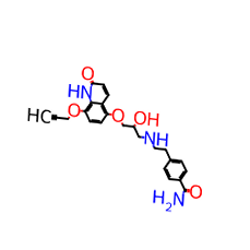 C#CCOc1ccc(OCC(O)CNCCc2ccc(C(N)=O)cc2)c2ccc(=O)[nH]c12